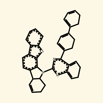 C1=CCCC(C2=CC=C(c3nc(N4c5c(ccc6c5sc5ccccc56)C5C=CCCC54)nc4c3=CCCC=4)CC2)=C1